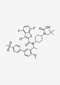 COc1ccc(-c2ccc(S(C)(=O)=O)cc2)cc1C(C)N(C(=O)c1sc2c(F)ccc(F)c2c1Cl)C1CCC(N(CC(C)(C)C)C(=O)O)CC1